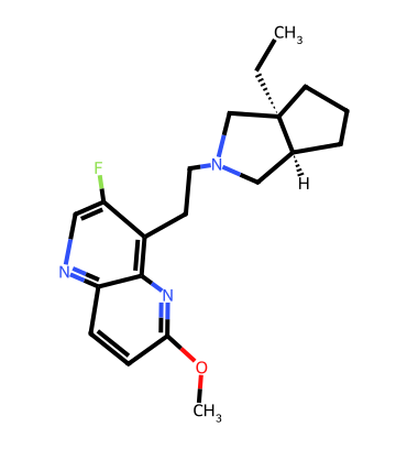 CC[C@]12CCC[C@H]1CN(CCc1c(F)cnc3ccc(OC)nc13)C2